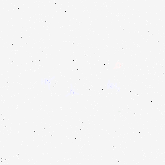 Fc1ccc(N2CCNCC2)cc1.N[S+]([O-])c1ccccc1